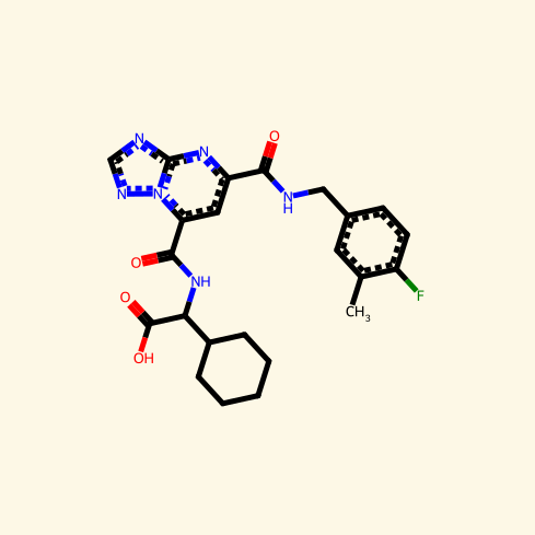 Cc1cc(CNC(=O)c2cc(C(=O)NC(C(=O)O)C3CCCCC3)n3ncnc3n2)ccc1F